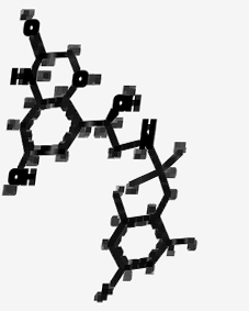 Cc1cc(F)cc(C)c1CC(C)(C)NC[C@H](O)c1cc(O)cc2c1OCC(=O)N2